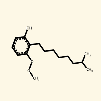 COOc1cccc(O)c1CCCCCCC(C)C